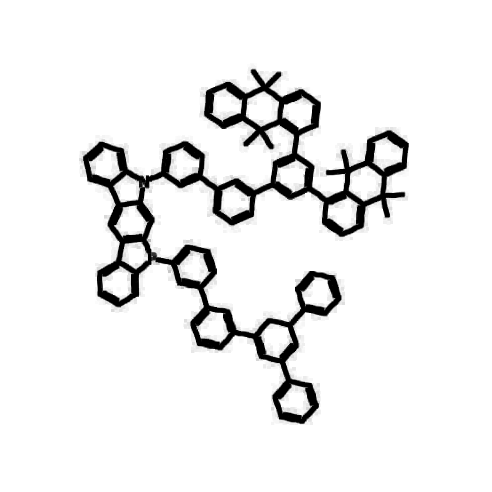 CC1(C)c2ccccc2C(C)(C)c2c(-c3cc(-c4cccc(-c5cccc(-n6c7ccccc7c7cc8c9ccccc9p(-c9cccc(-c%10cccc(C%11=CC(c%12ccccc%12)=CC(c%12ccccc%12)C%11)c%10)c9)c8cc76)c5)c4)cc(-c4cccc5c4C(C)(C)c4ccccc4C5(C)C)c3)cccc21